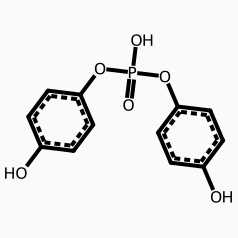 O=P(O)(Oc1ccc(O)cc1)Oc1ccc(O)cc1